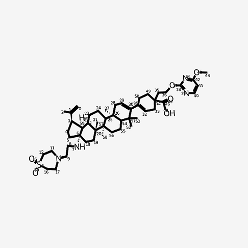 C=C(C)[C@@H]1CC[C@]2(NCCN3CCS(=O)(=O)CC3)CC[C@]3(C)[C@H](CCC4[C@@]5(C)CC=C(C6=CCC(CCOc7nccc(OC)n7)(C(=O)O)CC6)C(C)(C)C5CC[C@]43C)C12